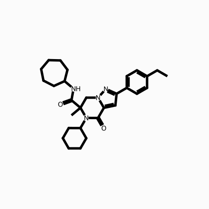 CCc1ccc(-c2cc3n(n2)CC(C)(C(=O)NC2CCCCCC2)N(C2CCCCC2)C3=O)cc1